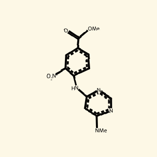 CNc1cc(Nc2ccc(C(=O)OC)cc2[N+](=O)[O-])ncn1